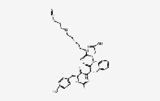 CC(=O)N[C@@H](Cc1ccc(O)cc1)C(=O)N[C@@H](Cc1ccccc1)C(=O)N[C@@H](CC(=O)O)C(=O)NCCOCCOCCN=[N+]=[N-]